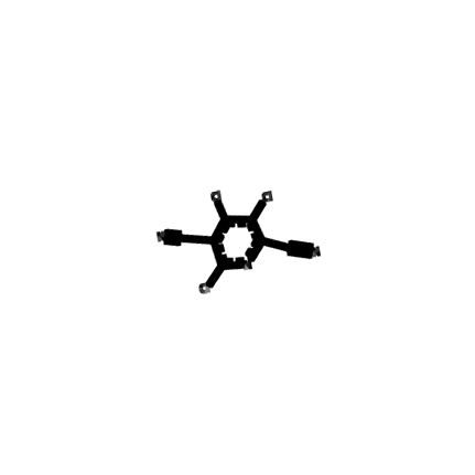 N#Cc1nc(Cl)c(C#N)c(Cl)c1Cl